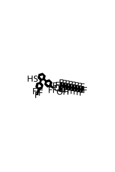 FC(F)(F)c1ccc(-c2cccc(S)c2-c2ccc(C(F)(F)F)cc2)cc1.O=S(=O)(O)C(F)(F)C(F)(F)C(F)(F)C(F)(F)C(F)(F)C(F)(F)C(F)(F)C(F)(F)F